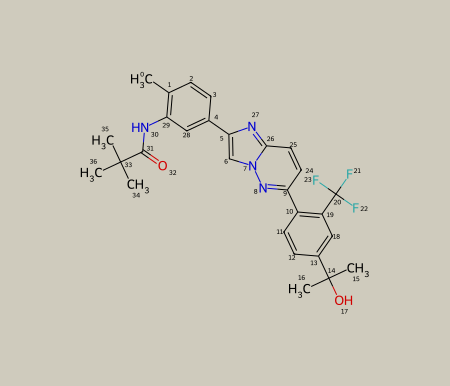 Cc1ccc(-c2cn3nc(-c4ccc(C(C)(C)O)cc4C(F)(F)F)ccc3n2)cc1NC(=O)C(C)(C)C